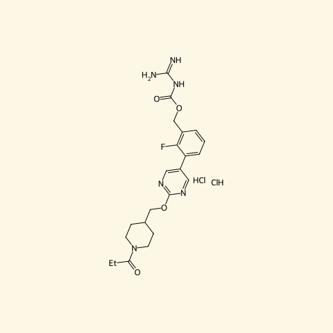 CCC(=O)N1CCC(COc2ncc(-c3cccc(COC(=O)NC(=N)N)c3F)cn2)CC1.Cl.Cl